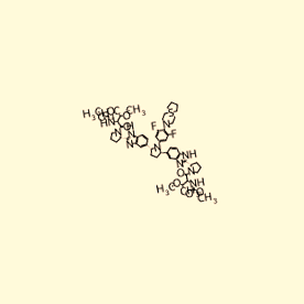 COC(=O)N[C@H](C(=O)N1CCC[C@H]1c1nc2cc([C@H]3CC[C@H](c4ccc5[nH]c([C@@H]6CCCN6C(=O)[C@@H](NC(=O)OC)[C@@H](C)OC)nc5c4)N3c3cc(F)c(N4CCS5(CCCC5)CC4)c(F)c3)ccc2[nH]1)[C@@H](C)OC